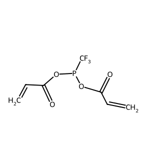 C=CC(=O)OP(OC(=O)C=C)C(F)(F)F